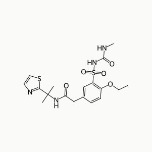 CCOc1ccc(CC(=O)NC(C)(C)c2nccs2)cc1S(=O)(=O)NC(=O)NC